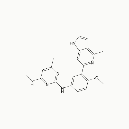 CNc1cc(C)nc(Nc2ccc(OC)c(-c3cc4[nH]ccc4c(C)n3)c2)n1